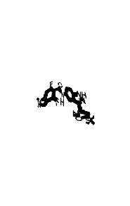 Cn1ncc2c(F)c(C(=O)Nc3ccc4[nH]nc(-c5cc([Si](C)(C)C)on5)c4c3)c(F)cc21